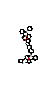 CC(C)c1ccc(-c2ccccc2N(c2ccc(-c3ccccc3)cc2)c2ccc3cc4c(cc3c2)oc2cc3cc(N(c5ccccc5)c5ccccc5-c5ccccc5)ccc3cc24)cc1